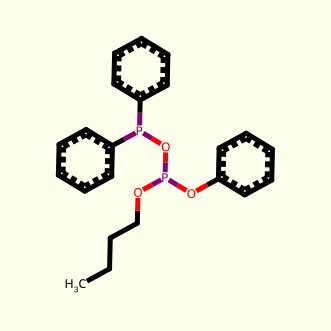 CCCCOP(Oc1ccccc1)OP(c1ccccc1)c1ccccc1